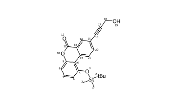 CC(C)(C)[Si](C)(C)Oc1cccc2oc(=O)c3cc(C#CCO)ccc3c12